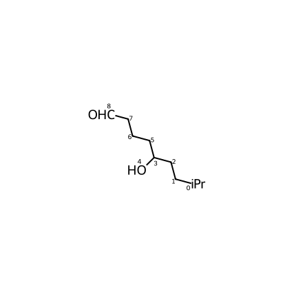 CC(C)CCC(O)CCCC=O